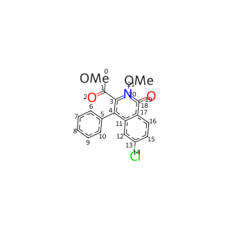 COC(=O)c1c(-c2ccccc2)c2cc(Cl)ccc2c(=O)n1OC